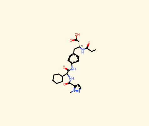 CCC(=O)N[C@@H](CC(=O)O)Cc1ccc(NC(=O)C(NC(=O)c2ccnn2C)C2CCCCC2)cc1